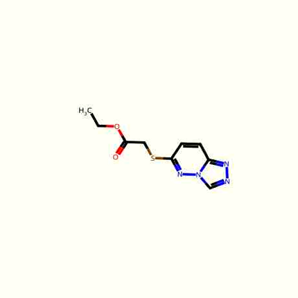 CCOC(=O)CSc1ccc2nncn2n1